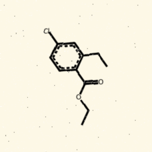 CCOC(=O)c1ccc(Cl)cc1CC